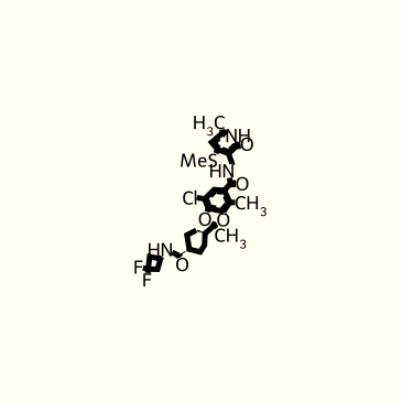 CSc1cc(C)[nH]c(=O)c1CNC(=O)c1cc(Cl)c2c(c1C)O[C@](C)([C@H]1CC[C@@H](C(=O)NC3CC(F)(F)C3)CC1)O2